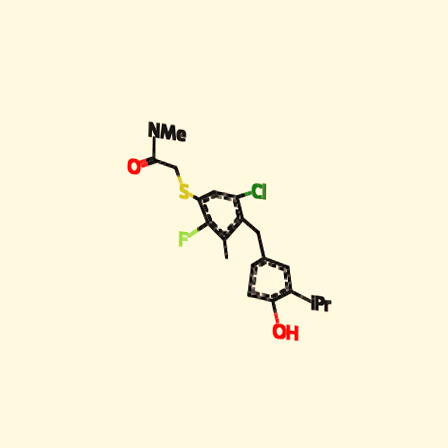 CNC(=O)CSc1cc(Cl)c(Cc2ccc(O)c(C(C)C)c2)c(C)c1F